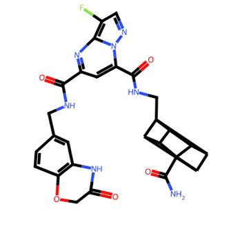 NC(=O)C12C3C4C1C1C2C3C41CNC(=O)c1cc(C(=O)NCc2ccc3c(c2)NC(=O)CO3)nc2c(F)cnn12